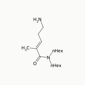 CCCCCCN(CCCCCC)C(=O)C(C)=CCCN